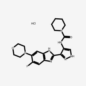 Cl.O=C(Nc1c[nH]nc1-c1nc2cc(F)c(N3CCOCC3)cc2[nH]1)N1CCCCC1